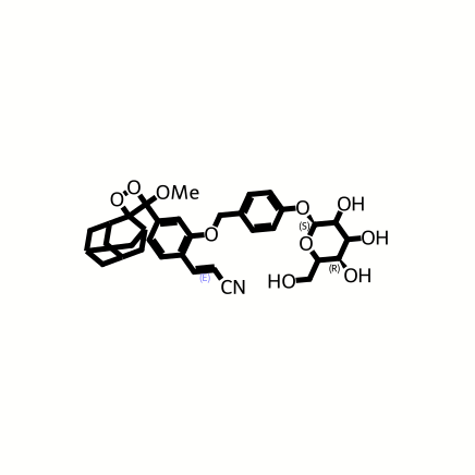 COC1(c2ccc(/C=C/C#N)c(OCc3ccc(O[C@@H]4OC(CO)[C@H](O)C(O)C4O)cc3)c2)OOC12C1CC3CC(C1)CC2C3